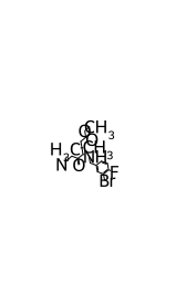 COC(=O)CC(C)(C)C(NCc1ccc(F)c(Br)c1)C(=O)CC#N